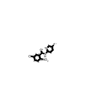 O=C(Nc1ccc(F)cn1)c1cc(Cl)ccc1[N+](=O)[O-]